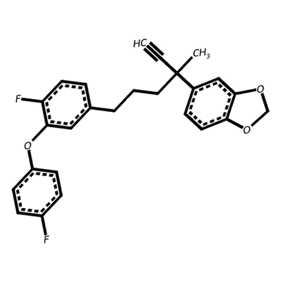 C#CC(C)(CCCc1ccc(F)c(Oc2ccc(F)cc2)c1)c1ccc2c(c1)OCO2